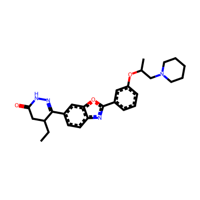 CCC1CC(=O)NN=C1c1ccc2nc(-c3cccc(OC(C)CN4CCCCC4)c3)oc2c1